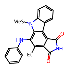 CCc1c2c(c3c4ccccc4n(SC)c3c1Nc1ccccc1)C(=O)NC2=O